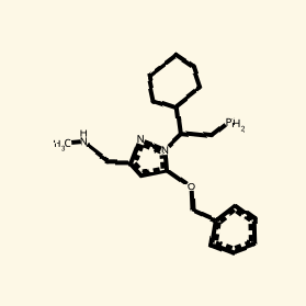 CNCc1cc(OCc2ccccc2)n(C(CP)C2CCCCC2)n1